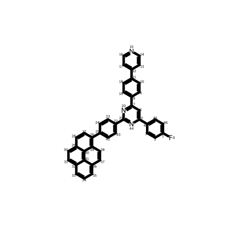 Fc1ccc(-c2cc(-c3ccc(-c4ccncc4)cc3)nc(-c3ccc(-c4ccc5ccc6cccc7ccc4c5c67)cc3)n2)cc1